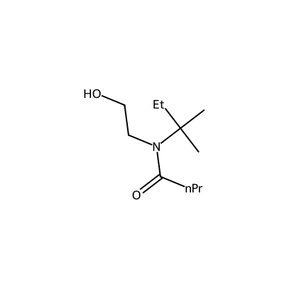 CCCC(=O)N(CCO)C(C)(C)CC